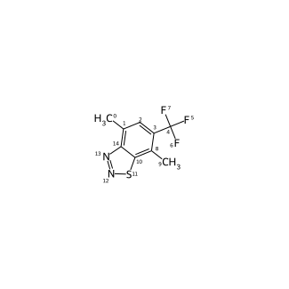 Cc1cc(C(F)(F)F)c(C)c2snnc12